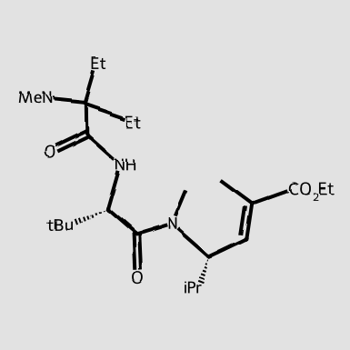 CCOC(=O)/C(C)=C/[C@H](C(C)C)N(C)C(=O)[C@@H](NC(=O)C(CC)(CC)NC)C(C)(C)C